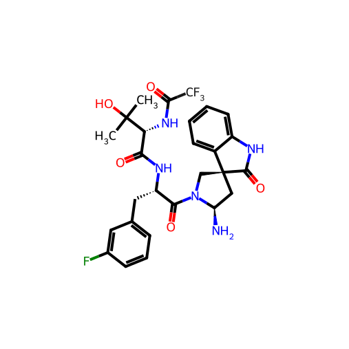 CC(C)(O)[C@H](NC(=O)C(F)(F)F)C(=O)N[C@@H](Cc1cccc(F)c1)C(=O)N1C[C@]2(C[C@H]1N)C(=O)Nc1ccccc12